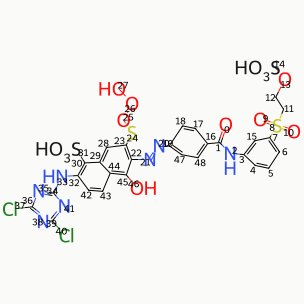 O=C(Nc1cccc(S(=O)(=O)CCOS(=O)(=O)O)c1)c1ccc(/N=N/c2c(SOOO)cc3c(S(=O)(=O)O)c(Nc4nc(Cl)nc(Cl)n4)ccc3c2O)cc1